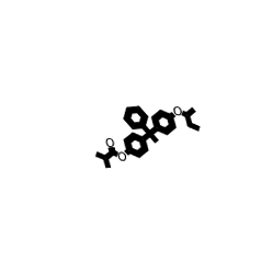 CCC(C)Oc1ccc(C(C)(c2ccccc2)c2ccc(OC(=O)C(C)C)cc2)cc1